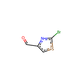 O=[C]c1csc(Br)n1